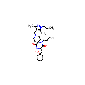 CCCCN1C(=O)[C@@H](CC2(O)CCCCC2)NC(=O)C12CCN(Cc1c(C)nn(CCC)c1C)CC2